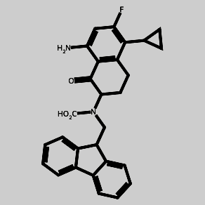 Nc1cc(F)c(C2CC2)c2c1C(=O)C(N(CC1c3ccccc3-c3ccccc31)C(=O)O)CC2